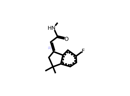 CNC(=O)/C=C1/CC(C)(C)c2ccc(F)cc21